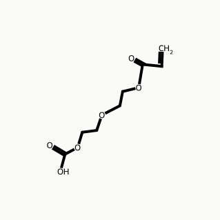 C=CC(=O)OCCOCCOC(=O)O